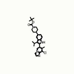 Cc1c(-c2[nH]c3ccc(C4CCN(C(=O)OC(C)(C)C)CC4)cc3c2C(C)C)cn2ccnc2c1Cl